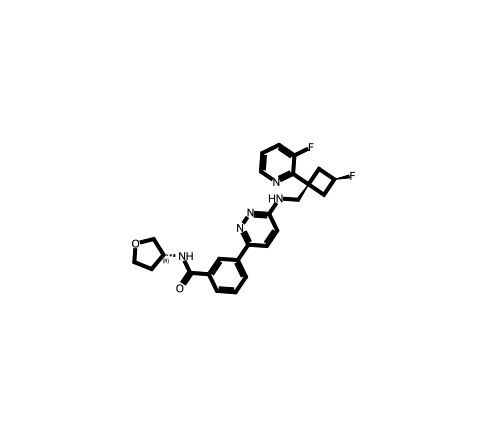 O=C(N[C@@H]1CCOC1)c1cccc(-c2ccc(NC[C@]3(c4ncccc4F)C[C@H](F)C3)nn2)c1